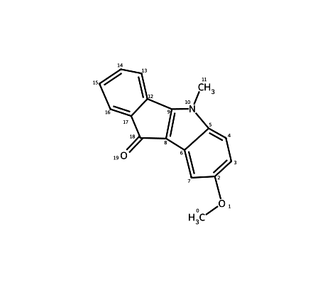 COc1ccc2c(c1)c1c(n2C)-c2ccccc2C1=O